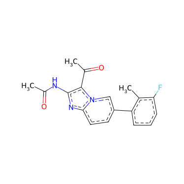 CC(=O)Nc1nc2ccc(-c3cccc(F)c3C)cn2c1C(C)=O